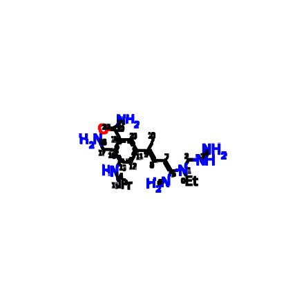 CCN(CNN)/C(N)=C/C=C(\C)c1cc(NC(C)C)c(CN)c(C(N)=O)c1